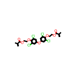 C=C(C)C(=O)OCCOc1c(Cl)cc(Oc2cc(Cl)c(OCCOC(=O)C(=C)C)c(Cl)c2)cc1Cl